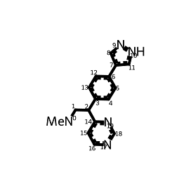 CNCC(c1ccc(-c2cn[nH]c2)cc1)c1ccncn1